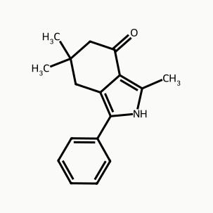 Cc1[nH]c(-c2ccccc2)c2c1C(=O)CC(C)(C)C2